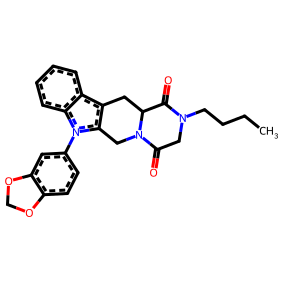 CCCCN1CC(=O)N2Cc3c(c4ccccc4n3-c3ccc4c(c3)OCO4)CC2C1=O